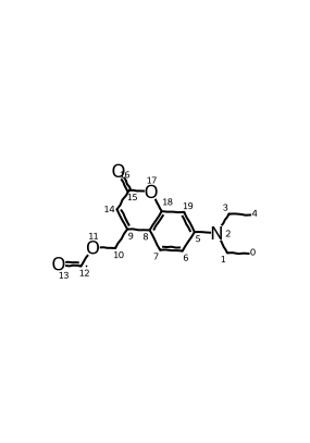 CCN(CC)c1ccc2c(CO[C]=O)cc(=O)oc2c1